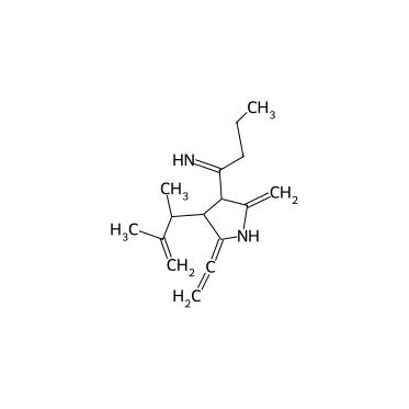 C=C=C1NC(=C)C(C(=N)CCC)C1C(C)C(=C)C